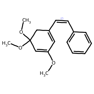 COC1=CC(OC)(OC)CC(/C=C\c2ccccc2)=C1